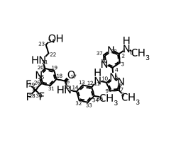 CNc1cc(-n2nc(C)cc2Nc2cc(NC(=O)c3cc(NCCO)nc(C(F)(F)F)c3)ccc2C)ncn1